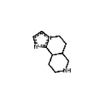 c1cn2c(n1)C1CCNCC1CC2